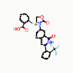 O=C(O)c1ccccc1C[C@@H]1COC(=O)N1c1ccc2cc(-c3ccccc3C(F)(F)F)[nH]c(=O)c2c1